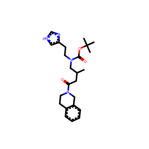 CC(CC(=O)N1CCc2ccccc2C1)CN(CCc1c[nH]cn1)C(=O)OC(C)(C)C